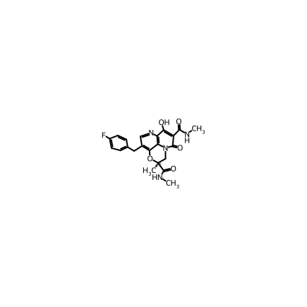 CNC(=O)c1c(O)c2ncc(Cc3ccc(F)cc3)c3c2n(c1=O)C[C@](C)(C(=O)NC)O3